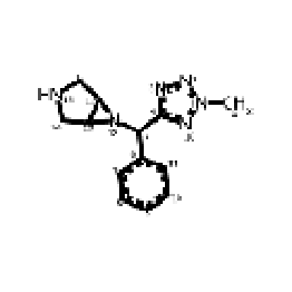 Cn1nnc(C(c2ccccc2)N2C3CNCC32)n1